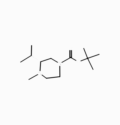 CC(C)[C@@H]1CN(C(=O)OC(C)(C)C)CCN1C